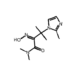 Cc1nccn1C(C)(C)C(=NO)C(=O)N(C)C